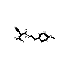 COc1ccc(CCOC(=O)C(C#N)C(C)=O)cc1